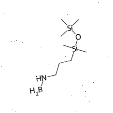 BNCCC[Si](C)(C)O[Si](C)(C)C